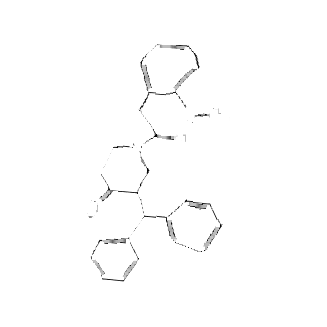 COc1ccccc1CC(=N)N1CCC(=O)C(C(c2ccccc2)c2ccccc2)C1